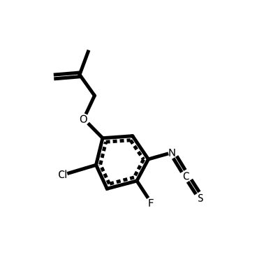 C=C(C)COc1cc(N=C=S)c(F)cc1Cl